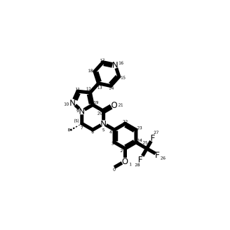 COc1cc(N2C[C@H](C)n3ncc(-c4ccncc4)c3C2=O)ccc1C(F)(F)F